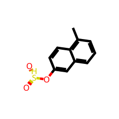 Cc1cccc2cc(O[SH](=O)=O)ccc12